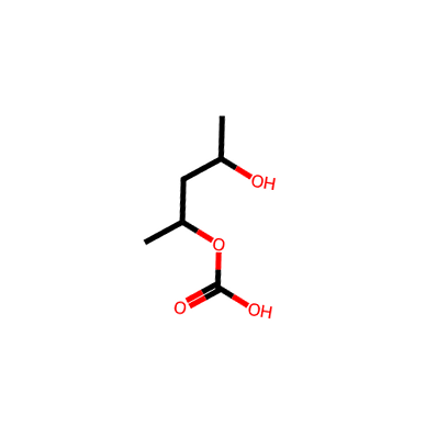 CC(O)CC(C)OC(=O)O